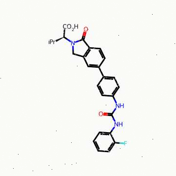 CC(C)[C@@H](C(=O)O)N1Cc2cc(-c3ccc(NC(=O)Nc4ccccc4F)cc3)ccc2C1=O